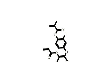 C=CC(=O)OC(C)=C(C)Oc1ccc(OC(=O)C(=C)C)c(F)c1